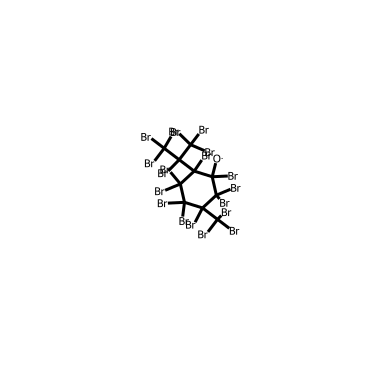 [O]C1(Br)C(Br)(Br)C(Br)(C(Br)(Br)Br)C(Br)(Br)C(Br)(Br)C1(Br)C(Br)(C(Br)(Br)Br)C(Br)(Br)Br